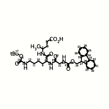 CC(CCC(=O)O)NC(=O)C(CCCCNC(=O)OC(C)(C)C)NC(=O)CNC(=O)OCC1c2ccccc2-c2ccccc21